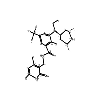 CCN(c1cc(C(F)(F)F)cc(C(=O)NCc2c(C)cc(C)[nH]c2=O)c1C)[C@@H]1C[C@@H](C)N[C@@H](C)C1